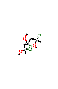 CO[Si](C)(Cl)C[Si](Cl)(C[Si](C)(Cl)OC)OC